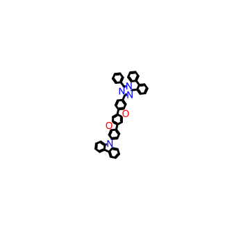 c1ccc(-c2nc(-c3ccc4c(c3)oc3cc5c(cc34)oc3cc(-n4c6ccccc6c6ccccc64)ccc35)nc(-c3ccccc3-c3ccccc3)n2)cc1